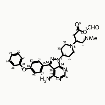 CNCC(CC(=O)OC=O)N1CCC(n2nc(-c3ccc(Oc4ccccc4)cc3)c3c(N)ncnc32)CC1